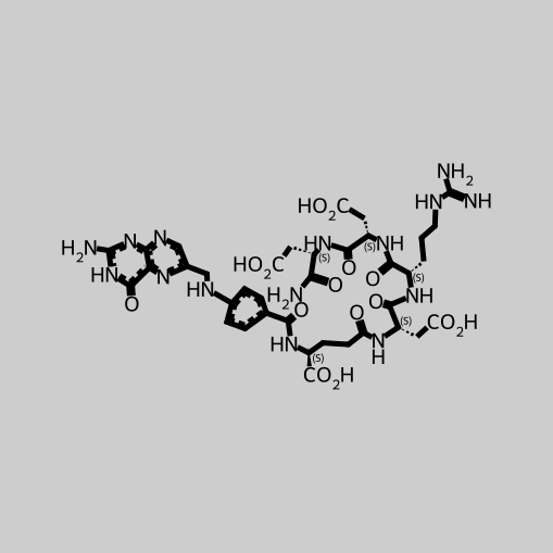 N=C(N)NCCC[C@H](NC(=O)[C@H](CC(=O)O)NC(=O)CC[C@H](NC(=O)c1ccc(NCc2cnc3nc(N)[nH]c(=O)c3n2)cc1)C(=O)O)C(=O)N[C@@H](CC(=O)O)C(=O)N[C@@H](CC(=O)O)C(N)=O